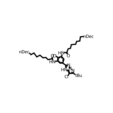 CCCCCCCCCCCCCCCCCC(=O)Nc1cc(-c2nn3nc(C(C)(C)C)c(Cl)c3[nH]2)cc(NC(=O)CCCCCCCCCCCCCCCCC)c1Cl